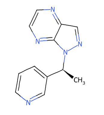 C[C@@H](c1cccnc1)n1ncc2nccnc21